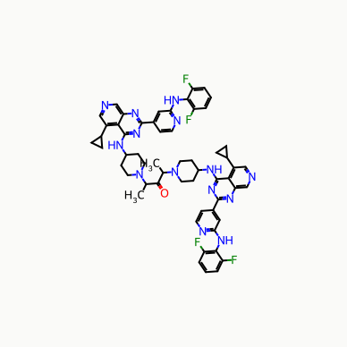 CC(C(=O)C(C)N1CCC(Nc2nc(-c3ccnc(Nc4c(F)cccc4F)c3)nc3cncc(C4CC4)c23)CC1)N1CCC(Nc2nc(-c3ccnc(Nc4c(F)cccc4F)c3)nc3cncc(C4CC4)c23)CC1